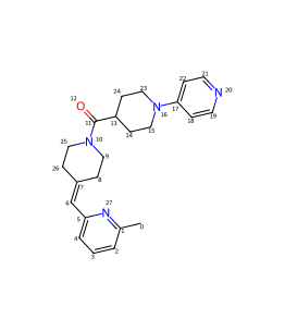 Cc1cccc(C=C2CCN(C(=O)C3CCN(c4ccncc4)CC3)CC2)n1